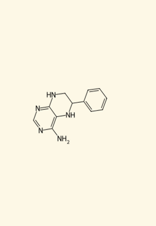 Nc1ncnc2c1NC(c1ccccc1)CN2